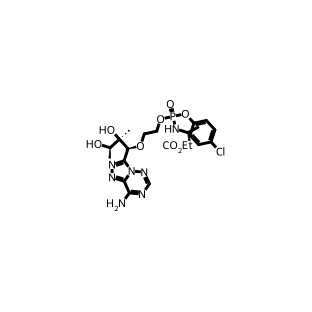 CCOC(=O)[C@H](C)NP(=O)(OCCO[C@@H](c1nnc2c(N)ncnn12)[C@](C)(O)[C@@H](C)O)Oc1ccc(Cl)cc1